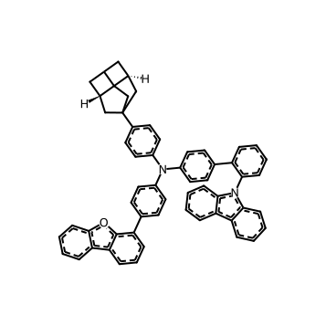 c1ccc(-n2c3ccccc3c3ccccc32)c(-c2ccc(N(c3ccc(-c4cccc5c4oc4ccccc45)cc3)c3ccc(C45C[C@@H]6CC7C[C@@H](C4)C76C5)cc3)cc2)c1